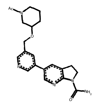 CC(=O)N1CCCC(OCc2cncc(-c3cnc4c(c3)CCN4C(N)=O)c2)C1